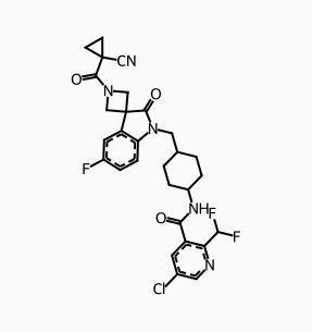 N#CC1(C(=O)N2CC3(C2)C(=O)N(CC2CCC(NC(=O)c4cc(Cl)cnc4C(F)F)CC2)c2ccc(F)cc23)CC1